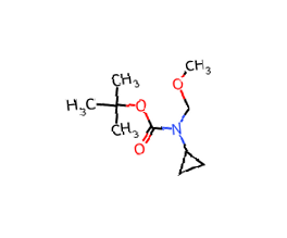 COCN(C(=O)OC(C)(C)C)C1CC1